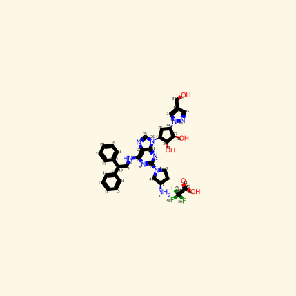 N[C@@H]1CCN(c2nc(NCC(c3ccccc3)c3ccccc3)c3ncn([C@@H]4C[C@H](n5cc(CO)cn5)[C@@H](O)[C@H]4O)c3n2)C1.O=C(O)C(F)(F)F